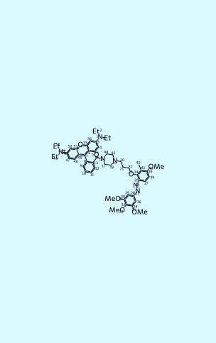 CCN(CC)c1ccc2c(-c3ccccc3C(=O)N3CCN(CCCOc4c(/N=N/c5cc(OC)c(OC)c(OC)c5)ccc(OC)c4C)CC3)c3ccc(=[N+](CC)CC)cc-3oc2c1